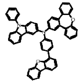 c1ccc(-n2c3ccccc3c3cc(N(c4ccc(-c5cccc6c5oc5ccccc56)cc4)c4ccc5c(c4)-c4ccccc4Oc4ccccc4-5)ccc32)cc1